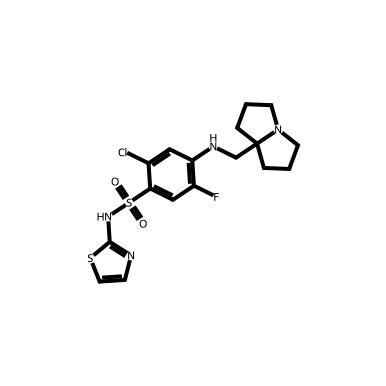 O=S(=O)(Nc1nccs1)c1cc(F)c(NCC23CCCN2CCC3)cc1Cl